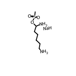 CS(=O)(=O)OC(N)CCCCCN.[NaH]